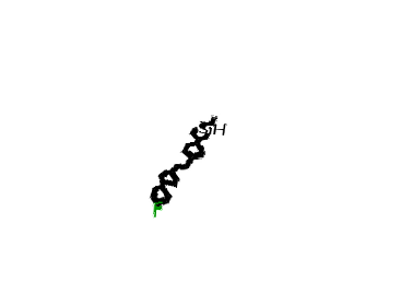 CCC[SiH]1CCC(C2CCC(CCc3ccc(-c4ccc(F)cc4)cc3)CC2)CC1